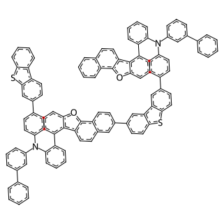 c1ccc(-c2cccc(N(c3ccc(-c4ccc5sc6ccc(-c7ccc8c(ccc9c8oc8cccc(-c%10ccccc%10N(c%10ccc(-c%11ccc%12c(c%11)sc%11ccccc%11%12)cc%10)c%10cccc(-c%11ccccc%11)c%10)c89)c7)cc6c5c4)cc3)c3ccccc3-c3cccc4oc5c6ccccc6ccc5c34)c2)cc1